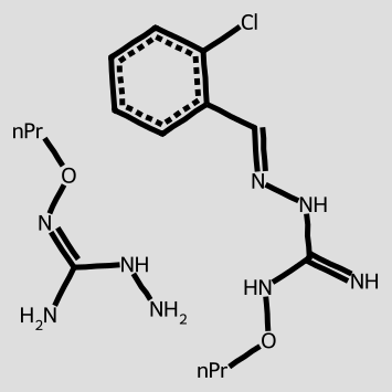 CCCON=C(N)NN.CCCONC(=N)NN=Cc1ccccc1Cl